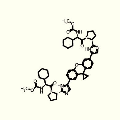 COC(=O)N[C@H](C(=O)N1CCC[C@H]1c1ncc(-c2ccc3c(c2)Oc2ccc(-c4cnc([C@@H]5CCCN5C(=O)[C@@H](NC(=O)OC)C5CCCCC5)[nH]4)cc2C32CC2)[nH]1)C1CCCCC1